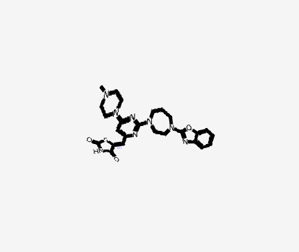 CN1CCN(c2cc(/C=C3\SC(=O)NC3=O)nc(N3CCCN(c4nc5ccccc5o4)CC3)n2)CC1